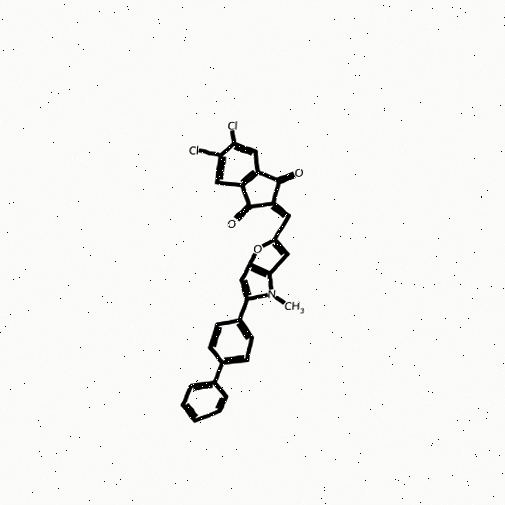 Cn1c(-c2ccc(-c3ccccc3)cc2)cc2oc(C=C3C(=O)c4cc(Cl)c(Cl)cc4C3=O)cc21